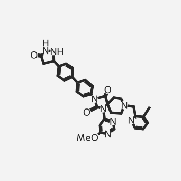 COc1cc(N2C(=O)N(c3ccc(-c4ccc(C5CC(=O)NN5)cc4)cc3)C(=O)C23CCN(Cc2ncccc2C)CC3)ncn1